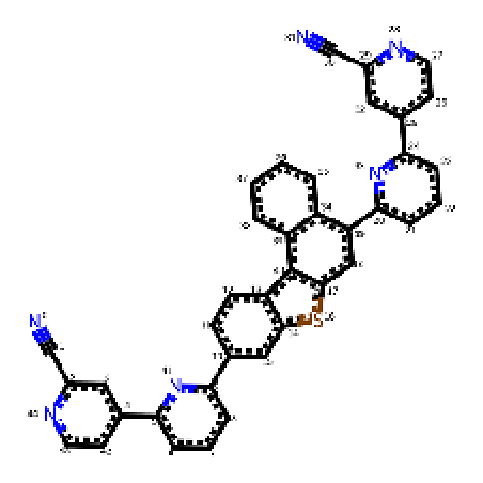 N#Cc1cc(-c2cccc(-c3ccc4c(c3)sc3cc(-c5cccc(-c6ccnc(C#N)c6)n5)c5ccccc5c34)n2)ccn1